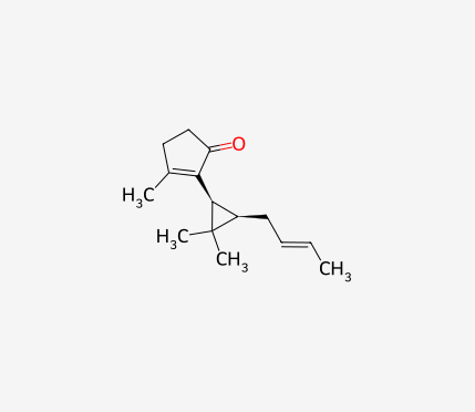 CC=CC[C@@H]1[C@H](C2=C(C)CCC2=O)C1(C)C